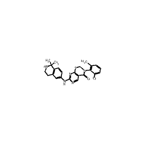 Cc1cccc(Cl)c1N1CSc2nc(Nc3ccc4c(c3)CCNC4(C)C)ncc2C1=O